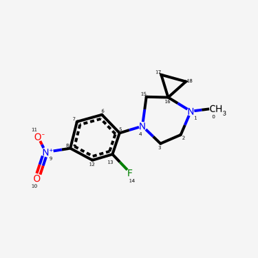 CN1CCN(c2ccc([N+](=O)[O-])cc2F)CC12CC2